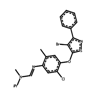 Cc1cc(Oc2snc(-c3ccccc3)c2Br)c(Cl)cc1N=CN(C)C(C)C